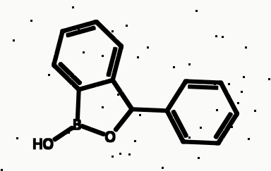 OB1OC(c2ccccc2)c2ccccc21